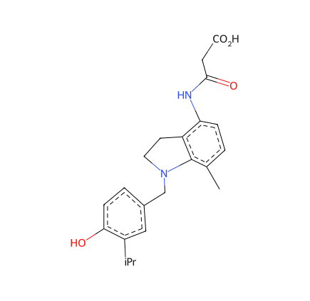 Cc1ccc(NC(=O)CC(=O)O)c2c1N(Cc1ccc(O)c(C(C)C)c1)CC2